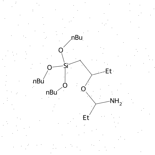 CCCCO[Si](CC(CC)OC(N)CC)(OCCCC)OCCCC